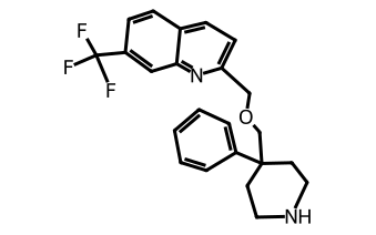 FC(F)(F)c1ccc2ccc(COCC3(c4ccccc4)CCNCC3)nc2c1